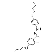 CCCCOc1ccc(N/N=C(\C)c2ccc(OCCCC)cc2C)cc1